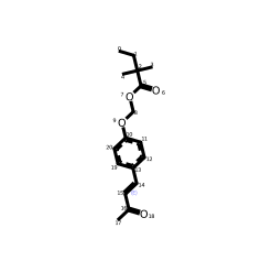 CCC(C)(C)C(=O)OCOc1ccc(/C=C/C(C)=O)cc1